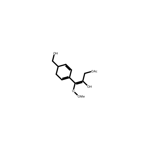 COO/C(C1=CCC(CO)C=C1)=C(\O)COC(C)=O